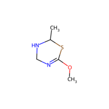 COC1=NCNC(C)S1